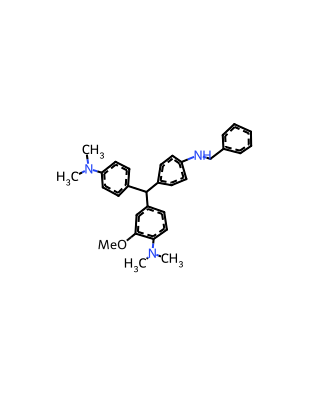 COc1cc(C(c2ccc(NCc3ccccc3)cc2)c2ccc(N(C)C)cc2)ccc1N(C)C